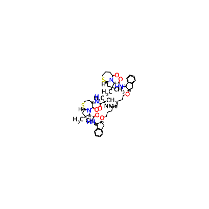 CNC(C)(C)C(=O)N[C@H]1CCS[C@H]2CC(C)(C)[C@@H](C(=O)N[C@H]3c4ccccc4C[C@H]3OCCCCCCCCO[C@@H]3Cc4ccccc4[C@@H]3NC(=O)[C@H]3N4C(=O)CCCS[C@H]4CC3(C)C)N2C1=O